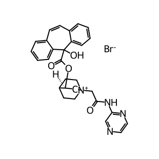 O=C(C[N+]12CCC(CC1)[C@@H](OC(=O)C1(O)c3ccccc3C=Cc3ccccc31)C2)Nc1cnccn1.[Br-]